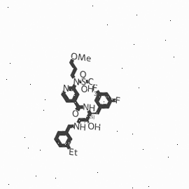 CCc1cccc(CNC[C@@H](O)[C@H](Cc2cc(F)cc(F)c2)NC(=O)c2ccnc(N(CCCOC)S(C)(=O)=O)c2)c1